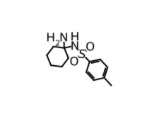 Cc1ccc(S(=O)(=O)NC2(N)CCCCC2)cc1